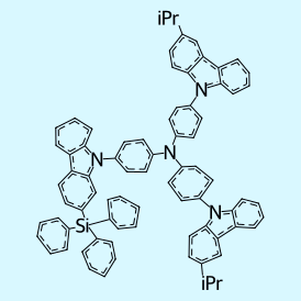 CC(C)c1ccc2c(c1)c1ccccc1n2-c1ccc(N(c2ccc(-n3c4ccccc4c4cc(C(C)C)ccc43)cc2)c2ccc(-n3c4ccccc4c4ccc([Si](c5ccccc5)(c5ccccc5)c5ccccc5)cc43)cc2)cc1